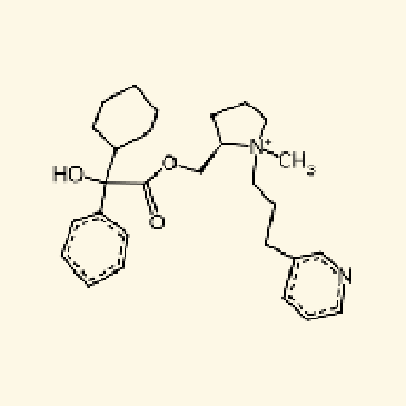 C[N+]1(CCCc2cccnc2)CCC[C@@H]1COC(=O)C(O)(c1ccccc1)C1CCCCC1